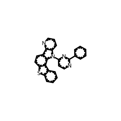 c1ccc(-c2nccc(-n3c4cccnc4c4ccc5sc6ccccc6c5c43)n2)cc1